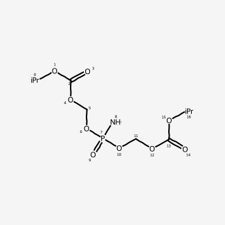 CC(C)OC(=O)OCOP([NH])(=O)OCOC(=O)OC(C)C